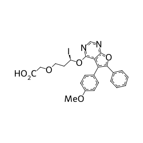 COc1ccc(-c2c(-c3ccccc3)oc3ncnc(O[C@H](I)CCOCC(=O)O)c23)cc1